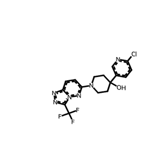 OC1(c2ccc(Cl)nc2)CCN(c2ccc3nnc(C(F)(F)F)n3n2)CC1